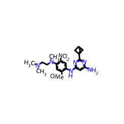 COc1cc(N(C)CCN(C)C)c([N+](=O)[O-])cc1Nc1cc(N)nc(C23CC(C2)C3)n1